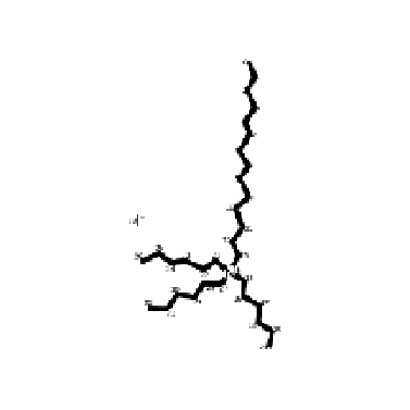 CCCCCCCCCCCCCC[N+](CCCCCC)(CCCCCC)CCCCCC.[I-]